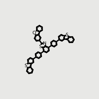 c1ccc2c(c1)oc1ccc(-c3nc4c(-c5ccc(-c6ccc7sc8ccccc8c7c6)cc5)ccc(-c5ccc(-c6ccc7sc8ccccc8c7c6)cc5)c4s3)cc12